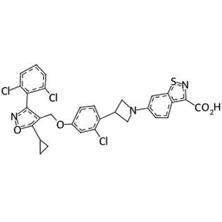 O=C(O)c1nsc2cc(N3CC(c4ccc(OCc5c(-c6c(Cl)cccc6Cl)noc5C5CC5)cc4Cl)C3)ccc12